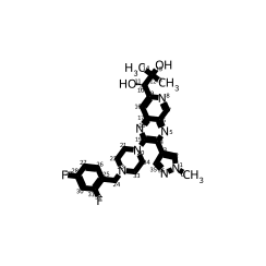 Cn1cc(-c2nc3cnc([C@H](O)C(C)(C)O)cc3nc2N2CCN(Cc3ccc(F)cc3F)CC2)cn1